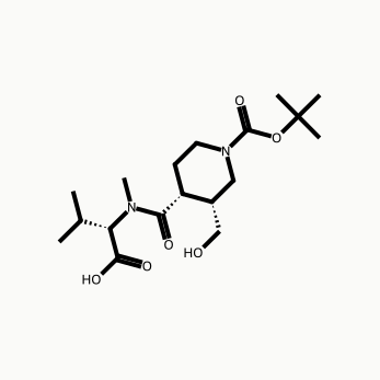 CC(C)[C@@H](C(=O)O)N(C)C(=O)[C@@H]1CCN(C(=O)OC(C)(C)C)C[C@@H]1CO